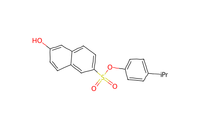 CC(C)c1ccc(OS(=O)(=O)c2ccc3cc(O)ccc3c2)cc1